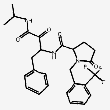 CC(C)NC(=O)C(=O)C(Cc1ccccc1)NC(=O)C1CCC(=O)N1Cc1ccccc1C(F)(F)F